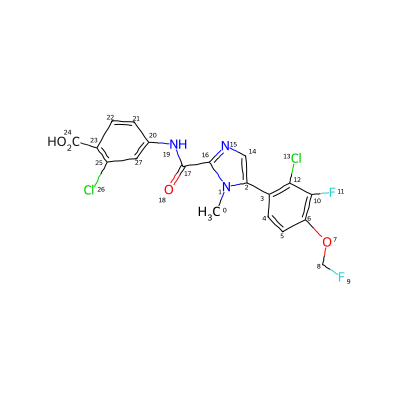 Cn1c(-c2ccc(OCF)c(F)c2Cl)cnc1C(=O)Nc1ccc(C(=O)O)c(Cl)c1